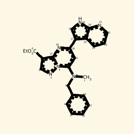 CCOC(=O)c1cnn2c(N(C)Cc3ccccc3)cc(-c3c[nH]c4ncccc34)nc12